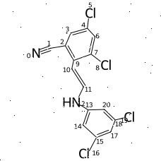 N#Cc1[c]c(Cl)cc(Cl)c1C=CNc1cc(Cl)cc(Cl)c1